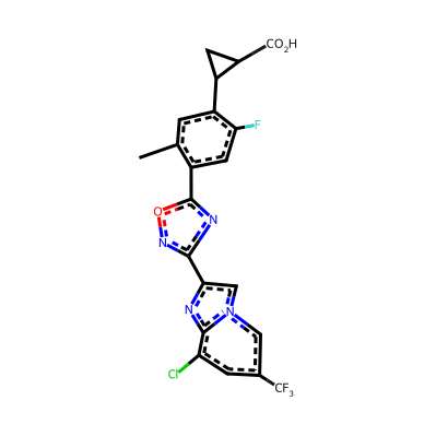 Cc1cc(C2CC2C(=O)O)c(F)cc1-c1nc(-c2cn3cc(C(F)(F)F)cc(Cl)c3n2)no1